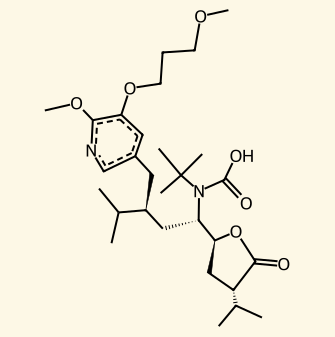 COCCCOc1cc(C[C@@H](C[C@@H]([C@@H]2C[C@@H](C(C)C)C(=O)O2)N(C(=O)O)C(C)(C)C)C(C)C)cnc1OC